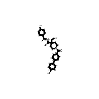 CC(C)CC1(C(=O)N[C@@H](C)c2ccc(F)cc2)CCN(C(=O)c2ccc(-c3ccc(F)cc3)cc2)CC1